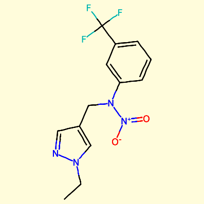 CCn1cc(CN(c2cccc(C(F)(F)F)c2)[N+](=O)[O-])cn1